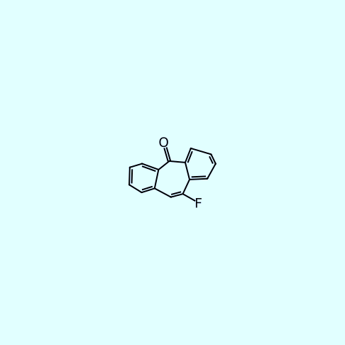 O=c1c2ccccc2cc(F)c2ccccc12